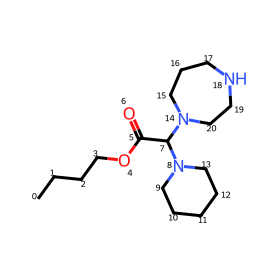 CCCCOC(=O)C(N1CCCCC1)N1CCCNCC1